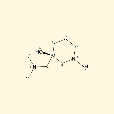 CN(C)C[C@]1(O)CCCN(S)C1